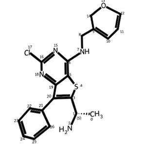 C[C@H](N)c1sc2c(NCC3=CC=COC3)nc(Cl)nc2c1-c1ccccc1